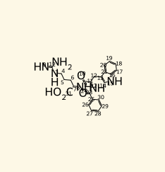 N=C(N)NCCCC(NC(=O)C(Cc1c[nH]c2ccccc12)NC(=O)c1ccccc1)C(=O)O